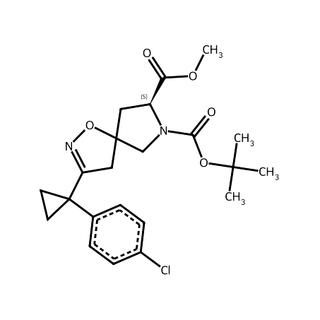 COC(=O)[C@@H]1CC2(CC(C3(c4ccc(Cl)cc4)CC3)=NO2)CN1C(=O)OC(C)(C)C